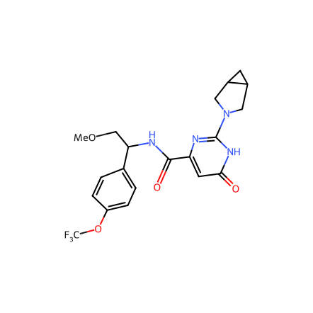 COCC(NC(=O)c1cc(=O)[nH]c(N2CC3CC3C2)n1)c1ccc(OC(F)(F)F)cc1